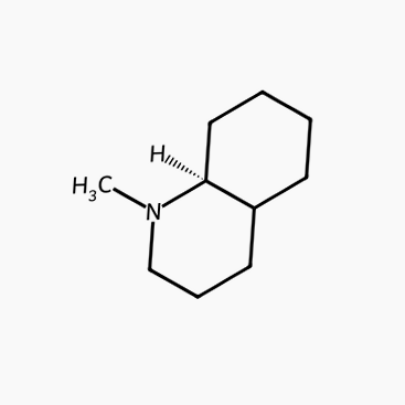 CN1CCCC2CCCC[C@@H]21